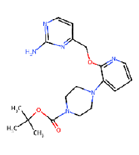 CC(C)(C)OC(=O)N1CCN(c2cccnc2OCc2ccnc(N)n2)CC1